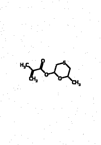 C=C(C)C(=O)OC1CSCC(C)O1